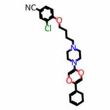 N#Cc1ccc(OCCCCN2CCN(C3=COC(C4=CC=CCC4)=CO3)CC2)c(Cl)c1